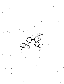 CC(C)(C)OC(=O)N1CCC/C(=C(\CC(=O)O)c2ccc(F)cc2)C1